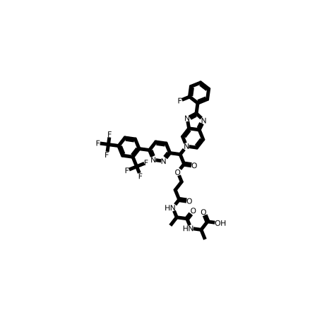 CC(NC(=O)C(C)NC(=O)CCOC(=O)C(c1ccc(-c2ccc(C(F)(F)F)cc2C(F)(F)F)nn1)n1ccc2nc(-c3ccccc3F)nc-2c1)C(=O)O